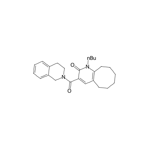 CCCCn1c2c(cc(C(=O)N3CCc4ccccc4C3)c1=O)CCCCCC2